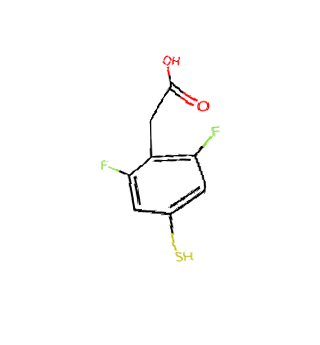 O=C(O)Cc1c(F)cc(S)cc1F